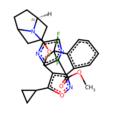 COC(=O)c1cnc(N2C3CC[C@H]2CC(OCc2c(-c4ccccc4C(F)(F)F)noc2C2CC2)C3)cn1